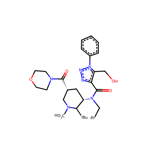 CC(C)CN(C(=O)c1nnn(-c2ccccc2)c1CO)[C@H]1C[C@@H](C(=O)N2CCOCC2)CN(C(=O)O)C1C(C)(C)C